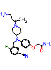 C[C@H](CCN)N1CCC(N(Cc2cc(C#N)ccc2F)c2ccc(OCC(N)=O)cc2)CC1